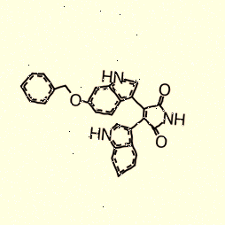 O=C1NC(=O)C(c2c[nH]c3cc(OCc4ccccc4)ccc23)=C1c1c[nH]c2ccccc12